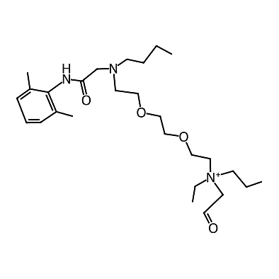 CCCCN(CCOCCOCC[N+](CC)(CC=O)CCC)CC(=O)Nc1c(C)cccc1C